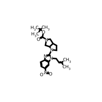 CC(C)=CCn1c(N2CCC3CN(C(=O)OC(C)(C)C)CC32)nc2ccc([N+](=O)[O-])cc21